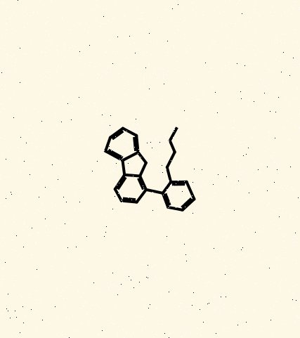 CCCCc1ccccc1-c1cccc2c1Cc1ccccc1-2